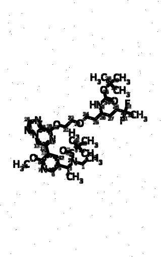 CCN([C@H](C)c1cnc(OC)c(-c2cn3ncnc3c(OCCOCCC(CCC(C)(F)F)NC(=O)OC(C)(C)C)n2)c1)[S+]([O-])C(C)(C)C